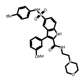 COc1cccc(-c2c(C(=O)NCCN3CCOCC3)[nH]c3ccc(S(=O)(=O)Nc4ccc(C(C)(C)C)cc4)cc23)c1